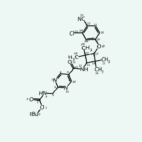 CC(C)(C)OC(=O)NCc1ncc(C(=O)NC2C(C)(C)C(Oc3ccc(C#N)c(Cl)c3)C2(C)C)cn1